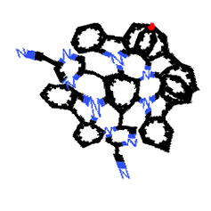 N#Cc1cnc(-c2c(-n3c4ccccc4c4ccccc43)c(-c3cnc(C#N)cn3)c(-n3c4ccccc4c4ccccc43)c(-n3c4ccccc4c4ccccc43)c2-n2c3ccccc3c3ccccc32)cn1